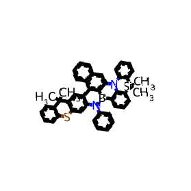 CC1(C)c2ccccc2Sc2cc3c(cc21)-c1c2c(cc4ccccc14)N1c4ccccc4[Si](C)(C)c4cccc(c41)B2N3c1ccccc1